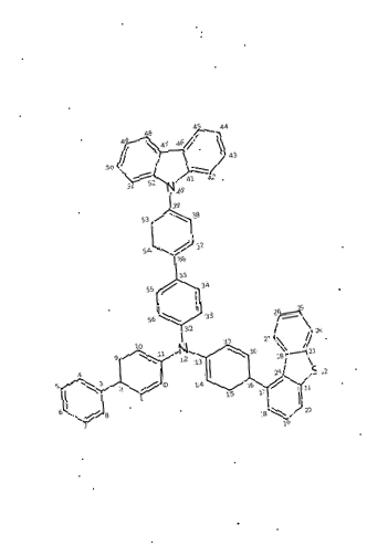 C1=CC(c2ccccc2)CC=C1N(C1=CCC(c2cccc3sc4ccccc4c23)C=C1)c1ccc(C2=CC=C(n3c4ccccc4c4ccccc43)CC2)cc1